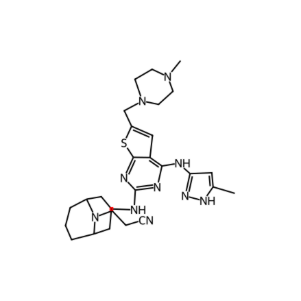 Cc1cc(Nc2nc(NC3CC4CCCC(C3)N4CCC#N)nc3sc(CN4CCN(C)CC4)cc23)n[nH]1